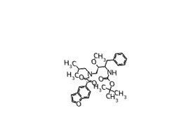 CO[C@H](CN(CC(C)C)S(=O)(=O)c1ccc2occc2c1)C(Cc1ccccc1)NC(=O)OC(C)(C)C